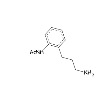 CC(=O)Nc1ccccc1CCCN